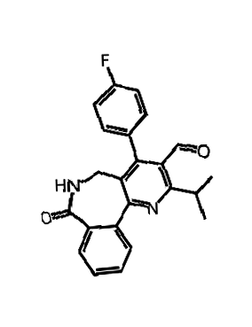 CC(C)c1nc2c(c(-c3ccc(F)cc3)c1C=O)CNC(=O)c1ccccc1-2